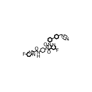 CN1CCN(Cc2ccc(-c3cccc(-n4c(=O)n(C5CCC(NC(=O)c6cn7cc(F)ccc7n6)CC5)c(=O)c5cc(F)cnc54)c3)cc2)CC1